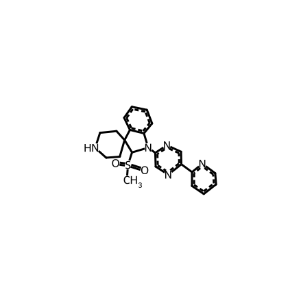 CS(=O)(=O)C1N(c2cnc(-c3ccccn3)cn2)c2ccccc2C12CCNCC2